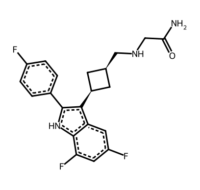 NC(=O)CNC[C@H]1C[C@@H](c2c(-c3ccc(F)cc3)[nH]c3c(F)cc(F)cc32)C1